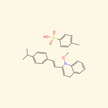 CON1C(C=Cc2ccc(C(C)C)cc2)=CCc2ccccc21.Cc1ccc(S(=O)(=O)O)cc1